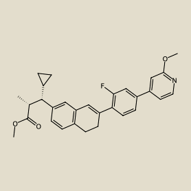 COC(=O)[C@H](C)[C@@H](c1ccc2c(c1)C=C(c1ccc(-c3ccnc(OC)c3)cc1F)CC2)C1CC1